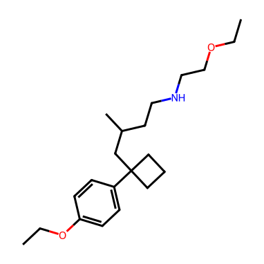 CCOCCNCCC(C)CC1(c2ccc(OCC)cc2)CCC1